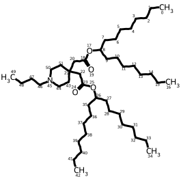 CCCCCCCCC(CCCCCCCC)OC(=O)CC1(CC(=O)OC(CCCCCCCC)CCCCCCCC)CCN(CCCC)CC1